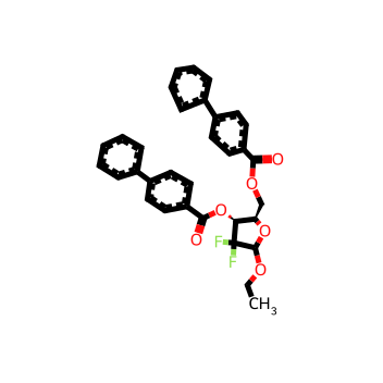 CCOC1O[C@H](COC(=O)c2ccc(-c3ccccc3)cc2)[C@@H](OC(=O)c2ccc(-c3ccccc3)cc2)C1(F)F